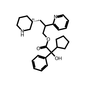 O=C(OCC(C[C@H]1CCCNC1)c1ccccn1)C(O)(c1ccccc1)C1CCCC1